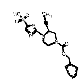 CC#C[C@H]1CN(C(=O)OCc2ccccc2)CCN1c1ncc(S(=O)(=O)O)s1